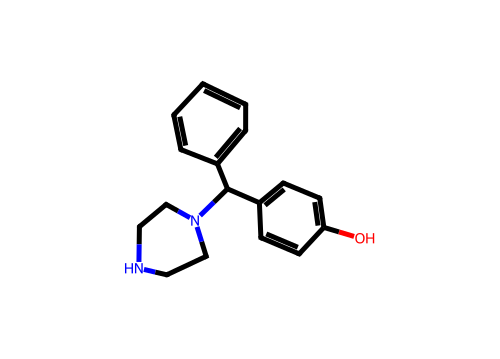 Oc1ccc(C(c2ccccc2)N2CCNCC2)cc1